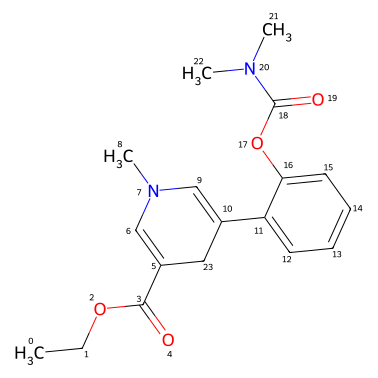 CCOC(=O)C1=CN(C)C=C(c2ccccc2OC(=O)N(C)C)C1